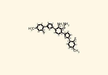 Cc1ccc(-c2ccc(-c3ccc(-c4ccc(-c5ccc(C)cc5F)s4)c(SN)c3N)s2)c(F)c1